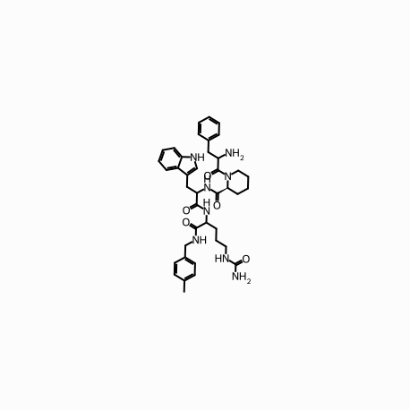 Cc1ccc(CNC(=O)C(CCCNC(N)=O)NC(=O)C(Cc2c[nH]c3ccccc23)NC(=O)[C@@H]2CCCCN2C(=O)C(N)Cc2ccccc2)cc1